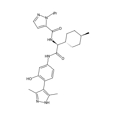 Cc1n[nH]c(C)c1-c1ccc(NC(=O)[C@@H](NC(=O)c2ccnn2C(C)C)[C@H]2CC[C@H](C)CC2)cc1O